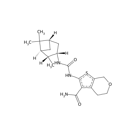 C[C@H]1[C@@H](NC(=O)Nc2sc3c(c2C(N)=O)CCOC3)C[C@@H]2C[C@@H]1C2(C)C